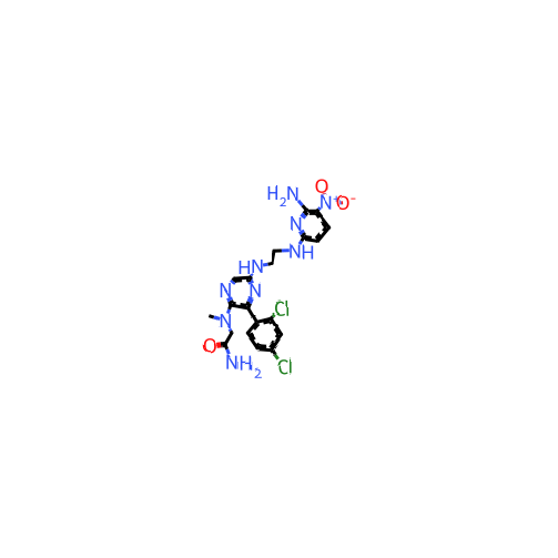 CN(CC(N)=O)c1ncc(NCCNc2ccc([N+](=O)[O-])c(N)n2)nc1-c1ccc(Cl)cc1Cl